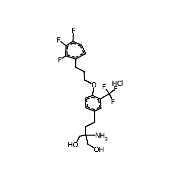 Cl.NC(CO)(CO)CCc1ccc(OCCCc2ccc(F)c(F)c2F)c(C(F)(F)F)c1